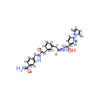 Cc1ccc(C)n1-c1ccc([C@H](O)CN[C@H](C)Cc2cccc(CC(=O)NCc3ccc(C(N)=O)cc3)c2)cn1